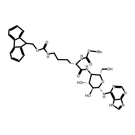 CC(C)(C)OC(=O)N[C@@H](CCCCNC(=O)OCC1c2ccccc2-c2ccccc21)C(=O)N[C@@H]1[C@@H](O)[C@H](O)[C@@H](Nc2ncnc3nc[nH]c23)O[C@H]1CO